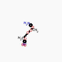 C=C(CCCCOCCOCC(=C)Oc1ccc(N)cc1)Oc1ccc([N+](=O)[O-])cc1